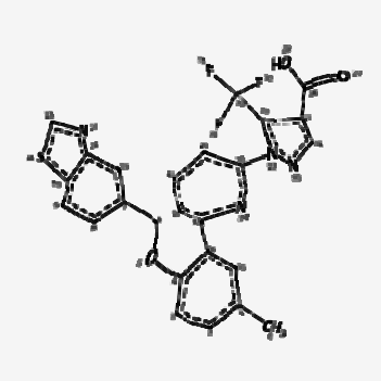 Cc1ccc(OCc2ccc3scnc3c2)c(-c2cccc(-n3ncc(C(=O)O)c3C(F)(F)F)n2)c1